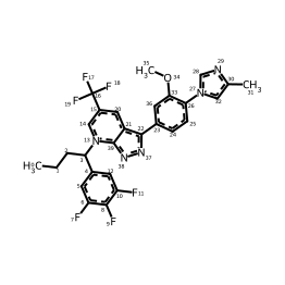 CCCC(c1cc(F)c(F)c(F)c1)n1cc(C(F)(F)F)cc2c(-c3ccc(-n4cnc(C)c4)c(OC)c3)nnc1-2